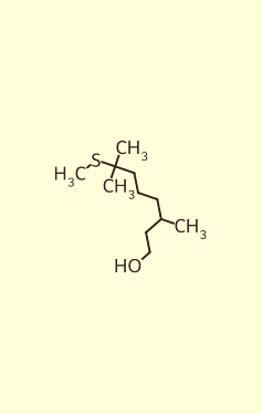 CSC(C)(C)CCCC(C)CCO